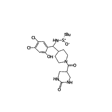 CC(C)(C)[S@+]([O-])NC(c1cc(Cl)c(Cl)cc1O)C1CCN(C(=O)C2CNC(=O)NC2)CC1